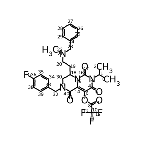 CC(C)n1c(=O)c(OC(=O)C(F)(F)F)c2n(c1=O)C(CCN(C)Cc1ccccc1)CN(Cc1ccc(F)cc1)C2=O